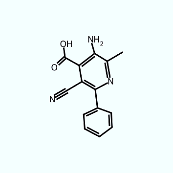 Cc1nc(-c2ccccc2)c(C#N)c(C(=O)O)c1N